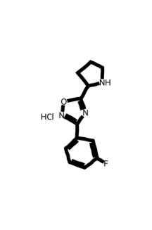 Cl.Fc1cccc(-c2noc(C3CCCN3)n2)c1